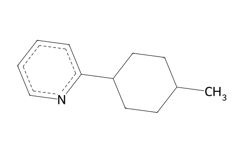 CC1CCC(c2ccccn2)CC1